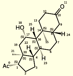 CC(=O)[C@H]1CC[C@H]2[C@@H]3CC[C@H]4CC(=O)CC[C@]4(C)[C@H]3[C@@H](O)C[C@]12C